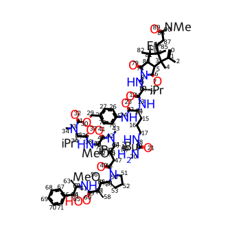 C=C(C)C1(C)C2C(=O)N(N[C@H](C(=O)N[C@@H](CCCNC(N)=O)C(=O)Nc3ccc(COC(=O)N(C)[C@H](C(=O)N[C@H](C(=O)N(C)[C@@H]([C@@H](C)CC)[C@@H](CC(=O)N4CCC[C@H]4[C@H](OC)[C@@H](C)C(=O)N[C@H](C)[C@H](O)c4ccccc4)OC)C(C)C)C(C)C)cc3)C(C)C)C(=O)C2C(C)(CC)C1(C)CCC(=O)NC